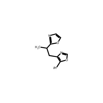 CC(C)c1ocnc1CC(C)c1ncco1